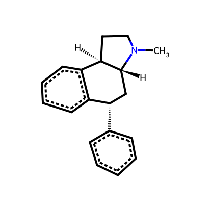 CN1CC[C@@H]2c3ccccc3[C@@H](c3ccccc3)C[C@H]21